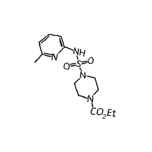 CCOC(=O)N1CCN(S(=O)(=O)Nc2cccc(C)n2)CC1